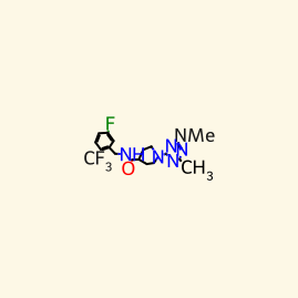 CNc1nc(C)nc(N2CCC(C(=O)NCc3cc(F)ccc3C(F)(F)F)CC2)n1